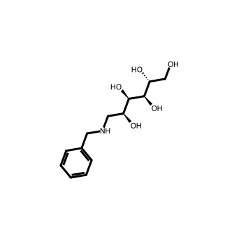 OC[C@@H](O)[C@@H](O)[C@H](O)[C@@H](O)CNCc1ccccc1